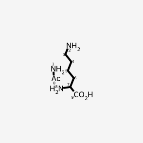 CC(N)=O.NCCCCC(N)C(=O)O